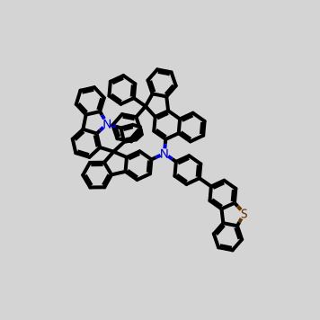 c1ccc(C2(c3ccccc3)c3ccccc3-c3c2cc(N(c2ccc(-c4ccc5sc6ccccc6c5c4)cc2)c2ccc4c(c2)C2(c5ccccc5-4)c4ccccc4-n4c5ccccc5c5cccc2c54)c2ccccc32)cc1